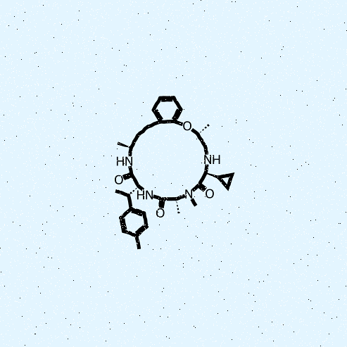 Cc1ccc(C(C)[C@H]2NC(=O)[C@@H](C)N(C)C(=O)[C@H](C3CC3)NC[C@@H](C)Oc3ccccc3CC[C@H](C)NC2=O)cc1